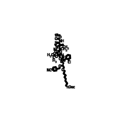 C=C(N1N=CN=C(NC(=O)OC(C)(C)C)/C1=C/C)[C@]1(C#N)O[C@@H]2C(OP(=O)(OC[C@@H](COCCCCCCCCCCCCCCCCCC)OCc3ccc(C#N)cc3)Oc3ccccc3Cl)[C@@]23OC(C)(C)O[C@H]31